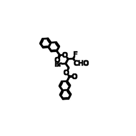 O=CC(F)C(OC(=O)c1ccc2ccccc2c1)C(Br)COC(=O)c1ccc2ccccc2c1